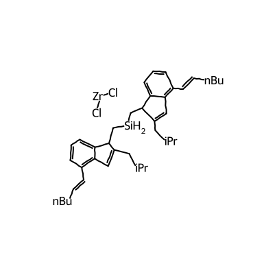 CCCCC=Cc1cccc2c1C=C(CC(C)C)C2C[SiH2]CC1C(CC(C)C)=Cc2c(C=CCCCC)cccc21.[Cl][Zr][Cl]